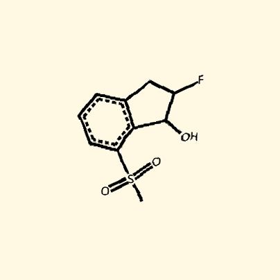 CS(=O)(=O)c1cccc2c1C(O)C(F)C2